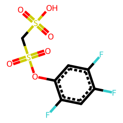 O=S(=O)(O)CS(=O)(=O)Oc1cc(F)c(F)cc1F